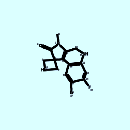 CN1C(=O)C2(CNC2)C2=C1CNc1cc(F)c(Br)cc12